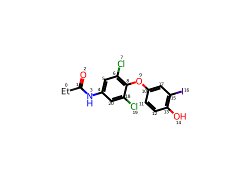 CCC(=O)Nc1cc(Cl)c(Oc2ccc(O)c(I)c2)c(Cl)c1